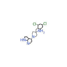 NC1(Cc2ccc(Cl)cc2Cl)CCN(c2ccnc3[nH]ccc23)CC1